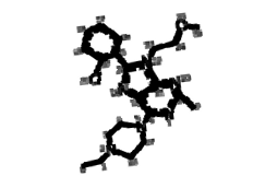 CCN1CCN(c2nc(C)nc3c2nc(-c2ccccc2Cl)n3CCOC)CC1